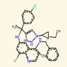 BC(Nc1cc(Cl)c2ncc(C#N)c(N[C@H](CCC#N)c3ccccc3)c2c1)(C1=CN(C2CC2)NN1)c1ccc(Cl)cc1